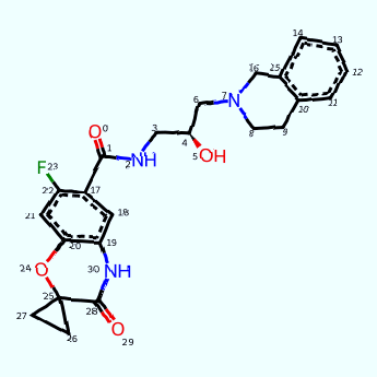 O=C(NC[C@H](O)CN1CCc2ccccc2C1)c1cc2c(cc1F)OC1(CC1)C(=O)N2